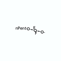 CCCCCc1ccc(C#Cc2cc(F)c(C#Cc3ccc(C)cc3)cc2F)cc1